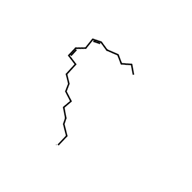 [CH2]CCCCCCCCC/C=C\C/C=C\CCCCC